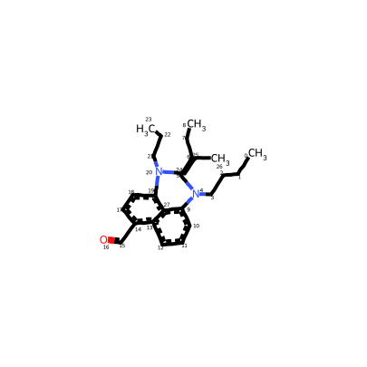 CCCCN(CCCC)c1cccc2c(C=O)ccc(N(CCC)CCC)c12